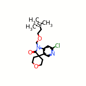 C[Si](C)(C)CCOCN1C(=O)C2(CCOCC2)c2cnc(Cl)cc21